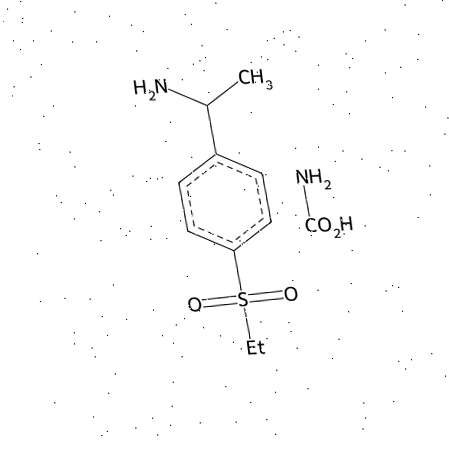 CCS(=O)(=O)c1ccc(C(C)N)cc1.NC(=O)O